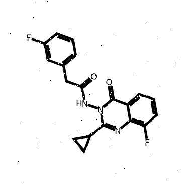 O=C(Cc1cccc(F)c1)Nn1c(C2CC2)nc2c(F)cccc2c1=O